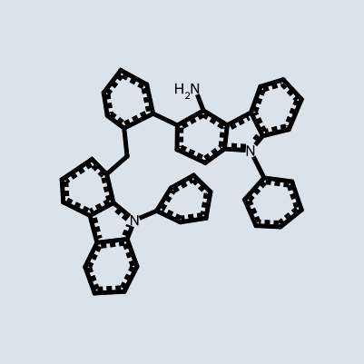 Nc1c(-c2ccccc2Cc2cccc3c4ccccc4n(-c4ccccc4)c23)ccc2c1c1ccccc1n2-c1ccccc1